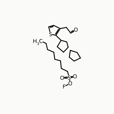 C1CCCC1.CCCCCCCCS(=O)(=O)OF.O=CCc1ccsc1C1CCCC1